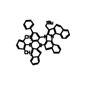 Cc1cccc(C)c1B1c2cc3ccccc3cc2B2c3c1cc(-c1ccccc1)cc3-n1c3c2cc2ccccc2c3n2c3c(ccc4ccccc43)c(CC(C)(C)C)c12